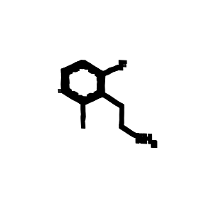 NCCc1c(I)[c]ccc1F